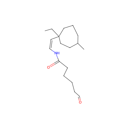 CCC1(/C=C\NC(=O)CCCCC=O)CCCC(C)CC1